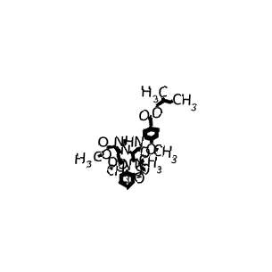 CCC(C)COC(=O)c1ccc(OC)c(NC(=O)C(C2=Nc3ccccc3S(=O)(=O)N2C)n2cnc(C(=O)OC)c2C(=O)OC)c1